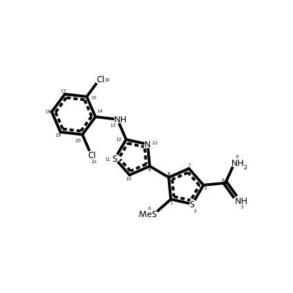 CSc1sc(C(=N)N)cc1-c1csc(Nc2c(Cl)cccc2Cl)n1